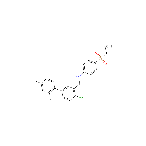 Cc1ccc(-c2ccc(F)c(CNc3ccc(S(=O)(=O)CC(=O)O)cc3)c2)c(C)c1